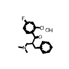 CN(C)CC(Cc1ccccc1)C(=O)c1ccc(F)cc1Cl.Cl